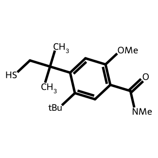 CNC(=O)c1cc(C(C)(C)C)c(C(C)(C)CS)cc1OC